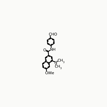 COc1ccc2cc(C(=O)Nc3ccc(C=O)cc3)cc(N(C)C)c2c1